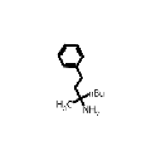 CCCCC(C)(N)CCc1ccccc1